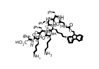 CC[C@H](C)[C@H](NC(=O)[C@H](CCCCN)NC(=O)[C@H](CC(C)C)NC(=O)[C@H](CCCCN)NC(=O)[C@H](CCCCN)NC(=O)[C@H](CC(C)C)NC(=O)[C@H](CC(C)C)NC(=O)CNC(=O)OCC1c2ccccc2-c2ccccc21)C(=O)O